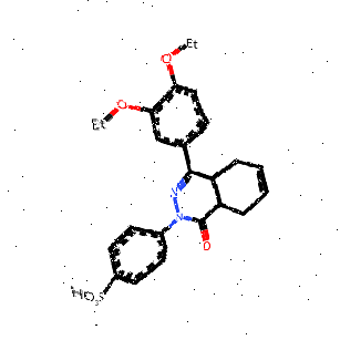 CCOc1ccc(C2=NN(c3ccc(S(=O)(=O)O)cc3)C(=O)C3CC=CCC23)cc1OCC